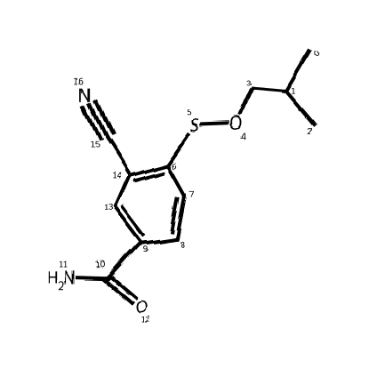 CC(C)COSc1ccc(C(N)=O)cc1C#N